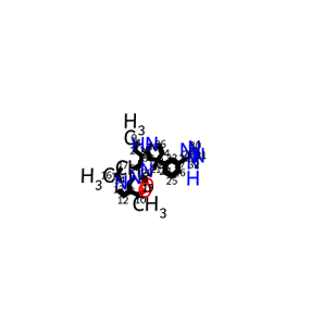 CCCCc1cn(-c2c(C(C)=O)ccn2C(C)C)c(=O)n1CC1(c2cccc(-c3nnn[nH]3)c2)C=CNC=C1